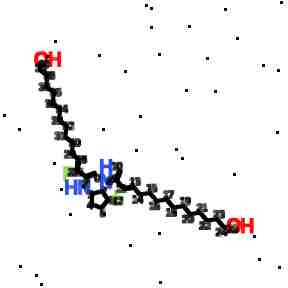 C=C(N[C@H]1CCC[C@H]1NC(=C)/C(F)=C/CCCCCCCCCCCO)/C(F)=C/CCCCCCCCCCCO